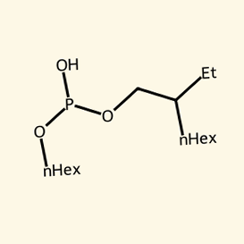 CCCCCCOP(O)OCC(CC)CCCCCC